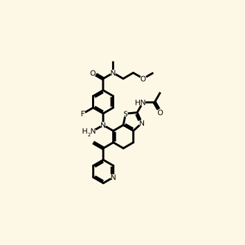 C=C(C1=C(N(N)c2ccc(C(=O)N(C)CCOC)cc2F)c2sc(NC(C)=O)nc2CC1)c1cccnc1